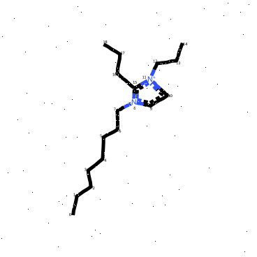 CCCCCCCCn1cc[n+](CCC)c1CCC